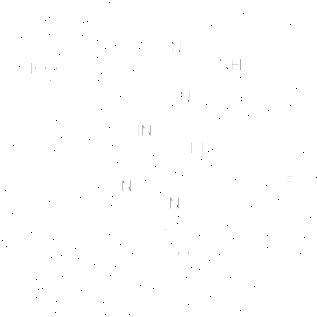 CCC(Nc1nc(N)nc(C)c1C=CC(=O)O)c1nc2cccc(C)c2c(=O)n1-c1ccc(F)cc1